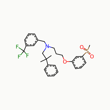 CC(C)(CN(CCCOc1cccc(S(C)(=O)=O)c1)Cc1cccc(C(F)(F)F)c1)c1ccccc1